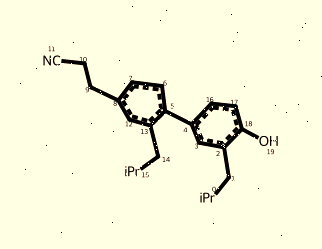 CC(C)Cc1cc(-c2ccc(CCC#N)cc2CC(C)C)ccc1O